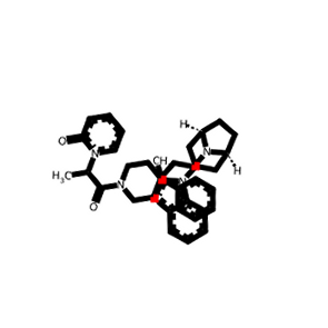 Cc1nc2ccccc2n1C1C[C@H]2CC[C@@H](C1)N2CCC1(c2ccccc2)CCN(C(=O)C(C)n2ccccc2=O)CC1